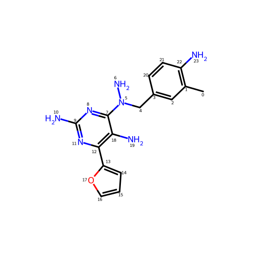 Cc1cc(CN(N)c2nc(N)nc(-c3ccco3)c2N)ccc1N